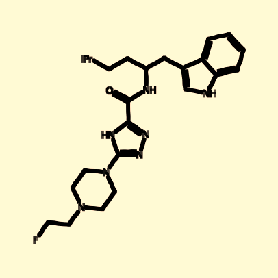 CC(C)CCC(Cc1c[nH]c2ccccc12)NC(=O)c1nnc(N2CCN(CCF)CC2)[nH]1